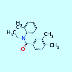 CCN(C(=O)c1ccc(C)c(C)c1)c1ccccc1C